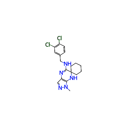 Cn1ncc2c1NC1(CCCCC1)C(NCc1ccc(Cl)c(Cl)c1)=N2